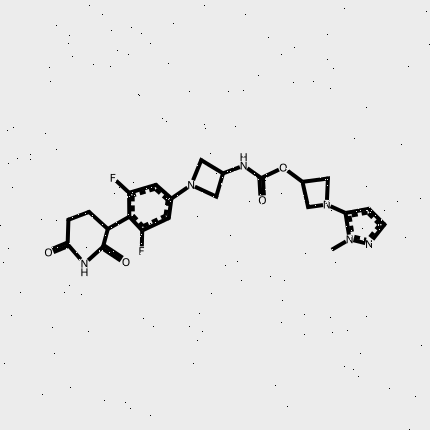 Cn1nccc1N1CC(OC(=O)NC2CN(c3cc(F)c(C4CCC(=O)NC4=O)c(F)c3)C2)C1